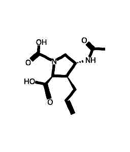 C=CC[C@@H]1[C@@H](NC(C)=O)CN(C(=O)O)[C@@H]1C(=O)O